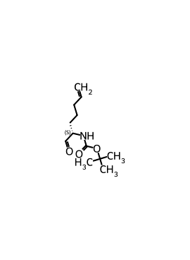 C=CCCC[C@@H](C=O)NC(=O)OC(C)(C)C